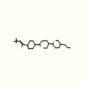 CCCC1CCC(C2CCC(C3CCC(/C(F)=C/C(F)(F)F)CC3)OC2)OC1